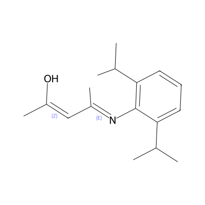 C/C(O)=C/C(C)=N/c1c(C(C)C)cccc1C(C)C